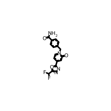 NC(=O)c1ccc(Cn2ccc(-c3nnc(C(F)F)o3)cc2=O)cc1